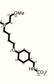 CCN(CCCCOC1CCC(CNC(=O)O)CC1)CCOC